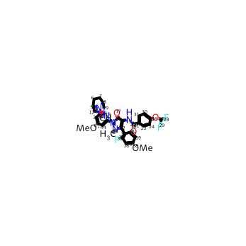 COc1cc(N2C3CCC2CN(C)C3)nc(-n2c(=O)c(NC(=O)c3ccc(OC(F)F)cc3)c(-c3c(F)cc(OC)cc3F)n2C)c1